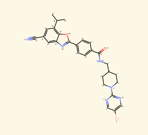 Bc1cnc(N2CCC(CNC(=O)c3ccc(-c4nc5cc(C#N)cc(C(C)C)c5o4)cc3)CC2)nc1